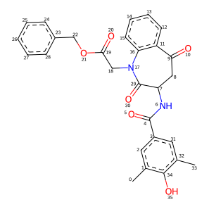 Cc1cc(C(=O)NC2CC(=O)c3ccccc3N(CC(=O)OCc3ccccc3)C2=O)cc(C)c1O